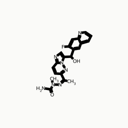 C/C(=N/N(C)C(N)=O)c1ccc2ncc(C(O)c3cc4cccnc4cc3F)n2n1